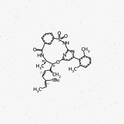 C=C(/C=C\C(=C/C)C(C)(C)C)[C@@H]1Oc2cc(-c3c(C)cccc3C)nc(n2)NS(=O)(=O)c2cccc(c2)C(=O)N[C@@H]1C